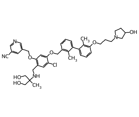 Cc1c(COc2cc(OCc3cncc(C#N)c3)c(CNC(C)(CO)CO)cc2Cl)cccc1-c1cccc(OCCCN2CCC(O)C2)c1C